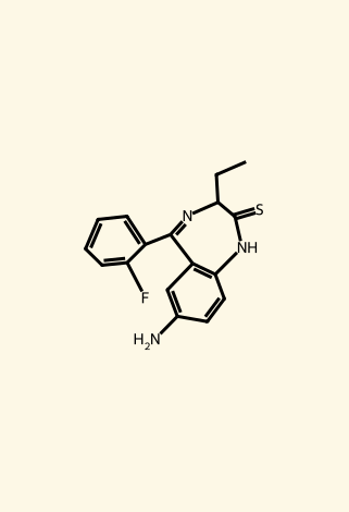 CCC1N=C(c2ccccc2F)c2cc(N)ccc2NC1=S